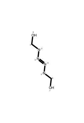 OC[N]N=N[N]CO